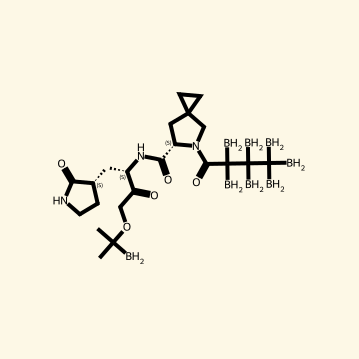 BC(C)(C)OCC(=O)[C@H](C[C@@H]1CCNC1=O)NC(=O)[C@@H]1CC2(CC2)CN1C(=O)C(B)(B)C(B)(B)C(B)(B)B